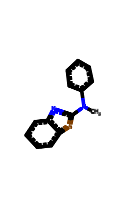 CN(c1ccccc1)c1nc2ccccc2s1